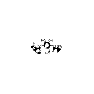 NC1(C(=O)N[C@@H]2[C@@H](O)[C@H](O)[C@@H](Nc3ncnc4nc[nH]c34)O[C@H]2CO)CC1